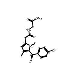 COC(=O)CNC(=O)Cc1cc(C)c(C(=O)c2ccc(Cl)cc2)n1C